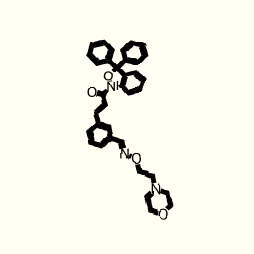 O=C(C=Cc1cccc(C=NOCCN2CCOCC2)c1)NOC(c1ccccc1)(c1ccccc1)c1ccccc1